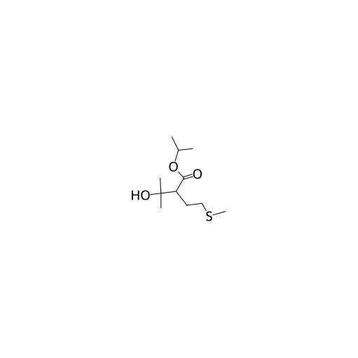 CSCCC(C(=O)OC(C)C)C(C)(C)O